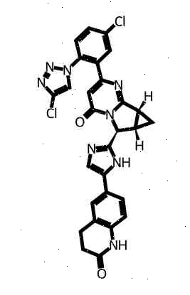 O=C1CCc2cc(-c3cnc([C@@H]4[C@H]5C[C@H]5c5nc(-c6cc(Cl)ccc6-n6cc(Cl)nn6)cc(=O)n54)[nH]3)ccc2N1